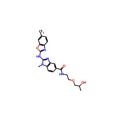 CC(O)COCCNC(=O)c1ccc2c(c1)nc(Nc1nc3ccc(C(F)(F)F)cc3o1)n2C